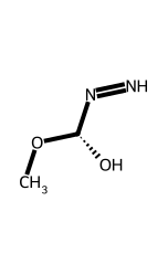 CO[C@@H](O)N=N